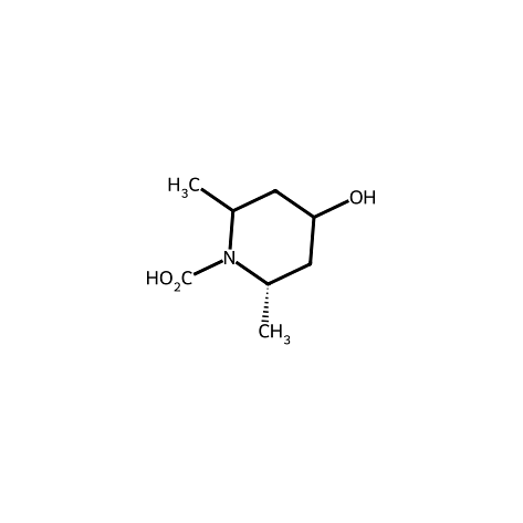 CC1CC(O)C[C@H](C)N1C(=O)O